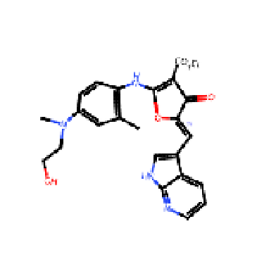 CCOC(=O)C1=C(Nc2ccc(N(C)CCO)cc2C)O/C(=C\c2c[nH]c3ncccc23)C1=O